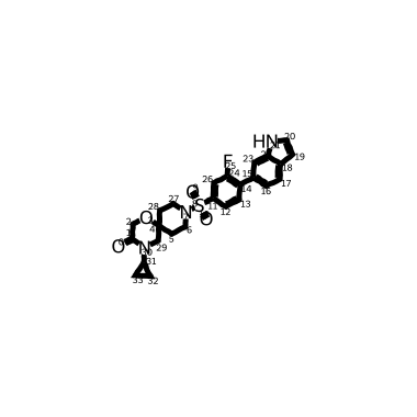 O=C1COC2(CCN(S(=O)(=O)c3ccc(-c4ccc5cc[nH]c5c4)c(F)c3)CC2)CN1C1CC1